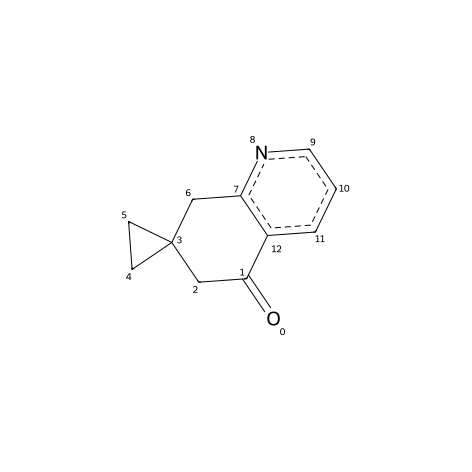 O=C1CC2(CC2)Cc2ncccc21